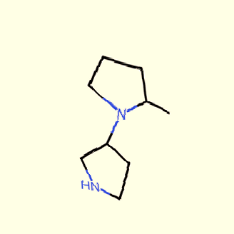 CC1CCCN1C1CCNC1